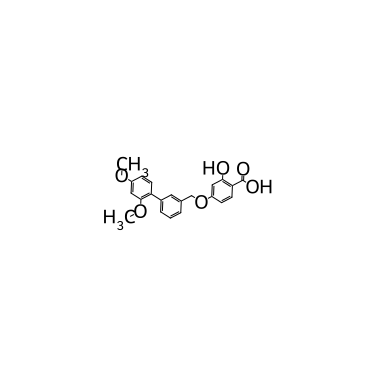 COc1ccc(-c2cccc(COc3ccc(C(=O)O)c(O)c3)c2)c(OC)c1